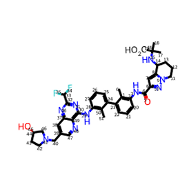 Cc1c(NC(=O)c2cc3n(n2)CCCC3NC(C)(C)C(=O)O)cccc1-c1cccc(Nc2nc(C(F)F)nc3cc(CN4CC[C@@H](O)C4)cnc23)c1C